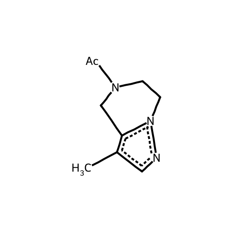 CC(=O)N1CCn2ncc(C)c2C1